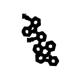 N#Cc1c(-c2ccccc2-c2ccccc2-n2c3ccccc3c3ccccc32)cccc1-n1c2ccccc2c2c(C#N)cccc21